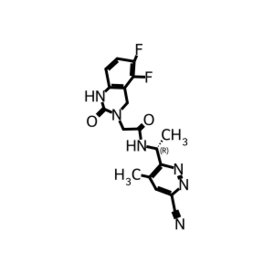 Cc1cc(C#N)nnc1[C@@H](C)NC(=O)CN1Cc2c(ccc(F)c2F)NC1=O